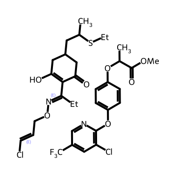 CCSC(C)CC1CC(=O)C(/C(CC)=N/OC/C=C/Cl)=C(O)C1.COC(=O)C(C)Oc1ccc(Oc2ncc(C(F)(F)F)cc2Cl)cc1